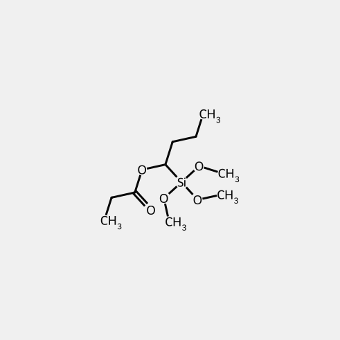 CCCC(OC(=O)CC)[Si](OC)(OC)OC